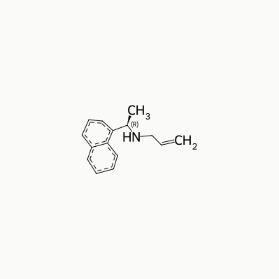 C=CCN[C@H](C)c1cccc2ccccc12